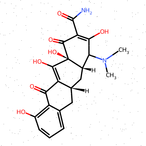 CN(C)C1C(O)=C(C(N)=O)C(=O)[C@@]2(O)C(O)=C3C(=O)c4c(O)cccc4C[C@H]3C[C@@H]12